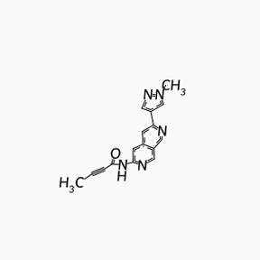 CC#CC(=O)Nc1cc2cc(-c3cnn(C)c3)ncc2cn1